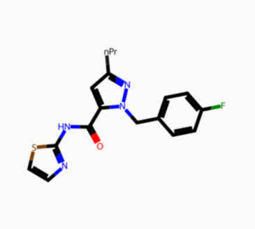 CCCc1cc(C(=O)Nc2nccs2)n(Cc2ccc(F)cc2)n1